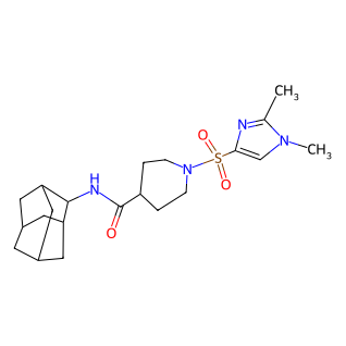 Cc1nc(S(=O)(=O)N2CCC(C(=O)NC3C4CC5CC(C4)CC3C5)CC2)cn1C